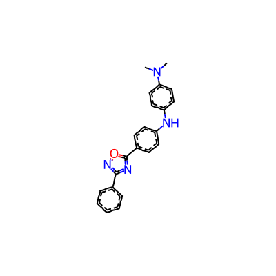 CN(C)c1ccc(Nc2ccc(-c3nc(-c4ccccc4)no3)cc2)cc1